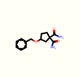 NC(=O)C1(C(N)=O)CCC(OCc2ccccc2)C1